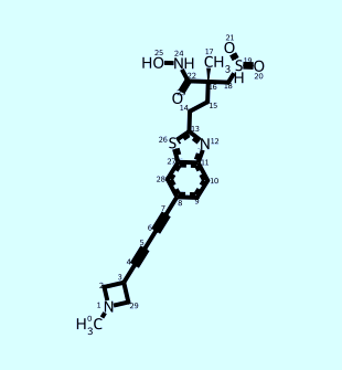 CN1CC(C#CC#Cc2ccc3nc(CC[C@@](C)(C[SH](=O)=O)C(=O)NO)sc3c2)C1